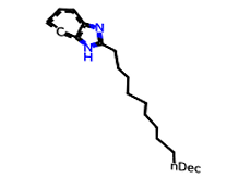 CCCCCCCCCCCCCCCCCCCc1nc2ccccc2[nH]1